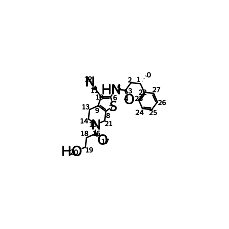 C[C@@H](CC(=O)Nc1sc2c(c1C#N)CCN(C(=O)CCO)C2)c1ccccc1